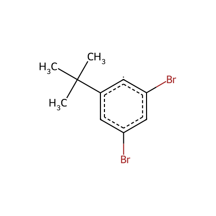 CC(C)(C)c1[c]c(Br)cc(Br)c1